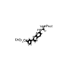 CCCCCNC(=S)Nc1ccc2ncc(-c3csc(C(=O)OCC)c3)nc2n1